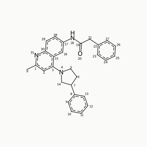 Cc1cc(N2CCC(c3ccccc3)C2)c2cc(NC(=O)Cc3ccccc3)ccc2n1